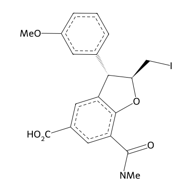 CNC(=O)c1cc(C(=O)O)cc2c1O[C@H](CI)[C@H]2c1cccc(OC)c1